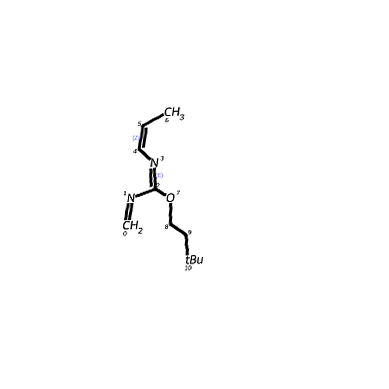 C=N/C(=N\C=C/C)OCCC(C)(C)C